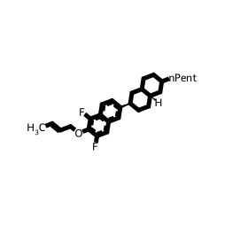 C/C=C/COc1c(F)cc2cc([C@@H]3CC[C@@H]4CC(CCCCC)CCC4C3)ccc2c1F